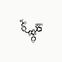 CN(C)C(=O)CN1CCN(Cc2cc3nc(-c4cccc5[nH]ncc45)nc(N4CCOCC4)c3s2)CC1